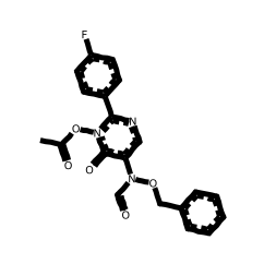 CC(=O)On1c(-c2ccc(F)cc2)ncc(N(C=O)OCc2ccccc2)c1=O